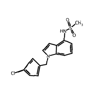 CS(=O)(=O)Nc1cccc2c1ccn2Cc1ccc(Cl)cc1